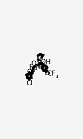 O=C(N[C@H](CN1CCCC1)[C@H](O)c1ccc(OC(F)(F)F)cc1)C(F)(F)c1cc2cc(Cl)ccc2o1